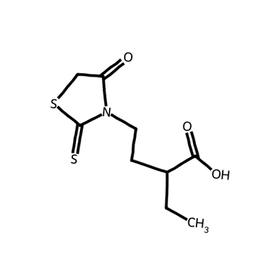 CCC(CCN1C(=O)CSC1=S)C(=O)O